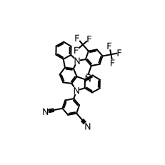 N#Cc1cc(C#N)cc(-n2c3ccccc3c3c2ccc2c4ccccc4n(-c4c(C#N)cc(C(F)(F)F)cc4C(F)(F)F)c23)c1